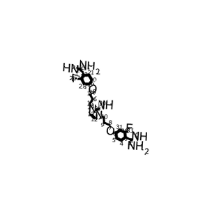 N=C(N)c1ccc(OCCCn2ccn(CCCOc3ccc(C(=N)N)c(F)c3)c2=N)cc1F